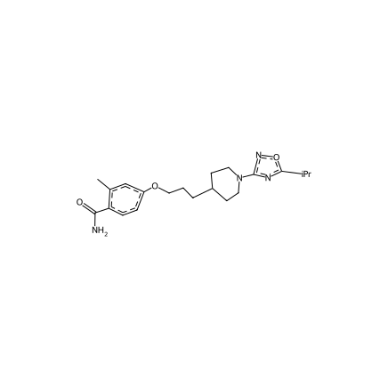 Cc1cc(OCCCC2CCN(c3noc(C(C)C)n3)CC2)ccc1C(N)=O